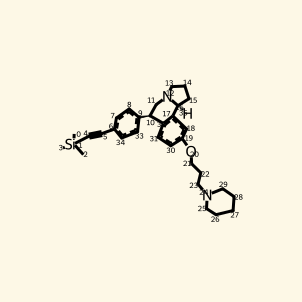 C[Si](C)(C)C#Cc1ccc([C@H]2CN3CCC[C@H]3c3cc(OCCCN4CCCCC4)ccc32)cc1